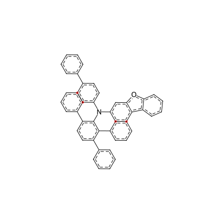 c1ccc(-c2ccc(N(c3ccc4c(c3)oc3ccccc34)c3c(-c4ccccc4)ccc(-c4ccccc4)c3-c3ccccc3)cc2)cc1